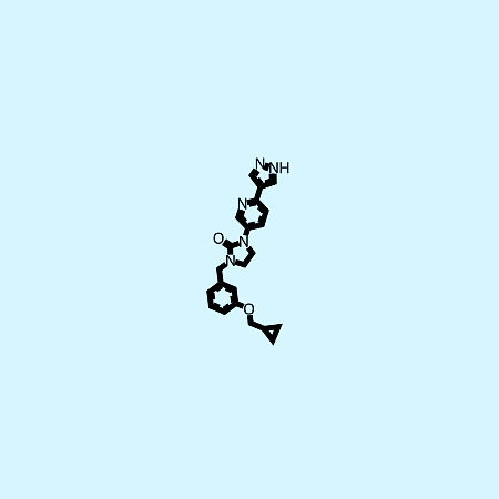 O=C1N(Cc2cccc(OCC3CC3)c2)CCN1c1ccc(-c2cn[nH]c2)nc1